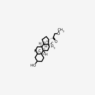 COCC(=O)[C@H]1CC[C@H]2[C@@H]3CCC4CC(O)CC[C@]4(C)[C@H]3CC[C@]12C